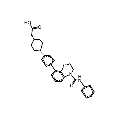 O=C(O)C[C@H]1CC[C@H](c2ccc(-c3cccc4c3OCCN4C(=O)Nc3ccccc3)cc2)CC1